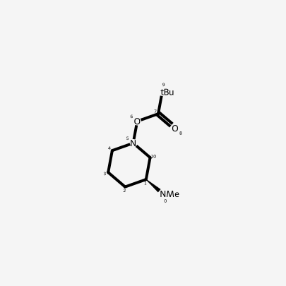 CN[C@H]1CCCN(OC(=O)C(C)(C)C)C1